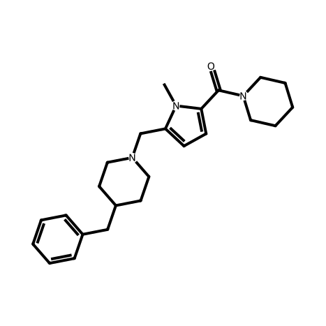 Cn1c(CN2CCC(Cc3ccccc3)CC2)ccc1C(=O)N1CCCCC1